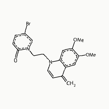 C=C1C=CN(CCn2cc(Br)ccc2=O)c2cc(OC)c(OC)cc21